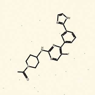 CC(=O)N1CCC(Nc2ncc(F)c(-c3cccc(-c4ncc[nH]4)c3)n2)CC1